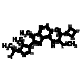 CCC(Nc1ncnc2c1nc(-c1cnn(C(C)I)c1C)n2C)C(=O)N1CCC1